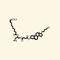 CCCCCCCC/C=C\CCCCCCCC(=O)OC(COC(=O)CCC(=O)O[C@H]1CC[C@@]2(C)C(=CCC3C2CC[C@@]2(C)C3CC[C@@H]2CCCCC(C)C)C1)CN(C)C